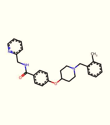 Cc1ccccc1CN1CCC(Oc2ccc(C(=O)NCc3ccccn3)cc2)CC1